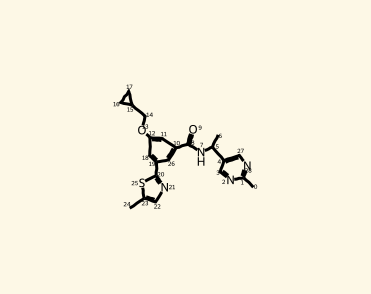 Cc1ncc(C(C)NC(=O)c2cc(OCC3CC3)cc(-c3ncc(C)s3)c2)cn1